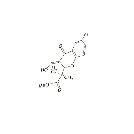 CCc1ccc2c(c1)C(=O)/C(=C/O)C(C(C)(C)C(=O)OC)O2